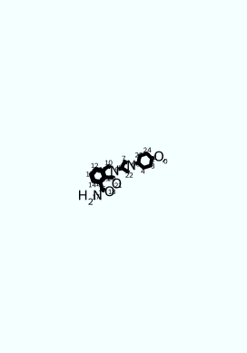 COC1CCC(N2CC(N3Cc4cccc(C(N)=O)c4C3=O)C2)CC1